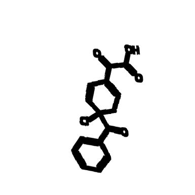 O=C(O)C(=O)C1=CCC(Cl)(C(=O)c2ccccc2)C=C1